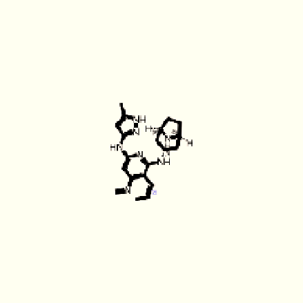 C=Nc1cc(Nc2cc(C)[nH]n2)nc(N[C@@H]2C[C@H]3CC[C@@H](C2)N3)c1/C=C\C